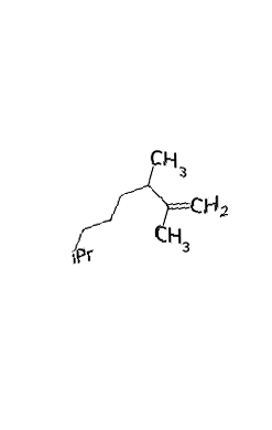 C=C(C)C(C)CCCC(C)C